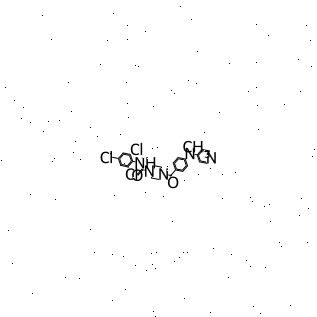 CN(c1ccncc1)c1ccc(C(=O)N2CCN(C(=O)Nc3c(Cl)cc(Cl)cc3Cl)CC2)cc1